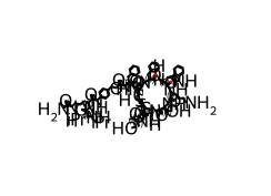 CC(C)N[C@H](C(=O)N[C@@H](CCCNC(N)=O)C(=O)Nc1ccc(COC(=O)N[C@H](Cc2ccccc2)C(=O)N[C@H]2CSSC[C@@H](CC(=O)N[C@H](CO)[C@@H](C)O)NC(=O)C([C@@H](C)O)NC(=O)[C@H](CCCCN)NC(=O)[C@@H](Cc3c[nH]c4ccccc34)NC(=O)[C@H](Cc3ccccc3)NC2=O)cc1)C(C)C